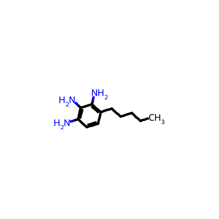 CCCCCc1ccc(N)c(N)c1N